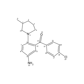 CC1CCCN(c2ccc(N)cc2C(=O)c2ccc(Cl)cc2)C1